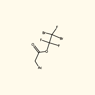 CC(=O)CC(=O)OC(F)(F)C(F)(Br)Br